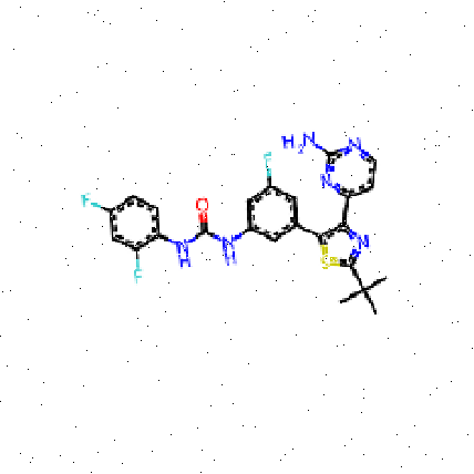 CC(C)(C)c1nc(-c2ccnc(N)n2)c(-c2cc(F)cc(NC(=O)Nc3ccc(F)cc3F)c2)s1